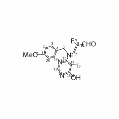 COc1ccc(CN(/C=C(\F)C=O)c2ncnc(O)c2C)cc1